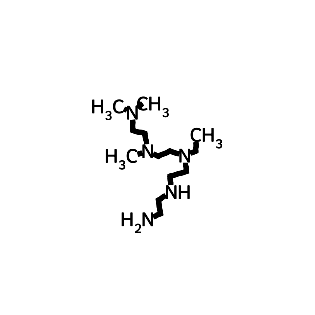 CCN(CCNCCN)CCN(C)CCN(C)C